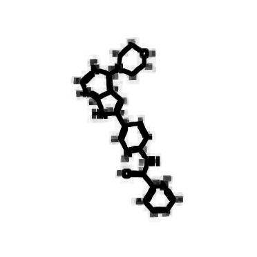 O=C(Nc1ccc(-c2cc3c(N4CCOCC4)ncnc3[nH]2)cn1)c1ccccn1